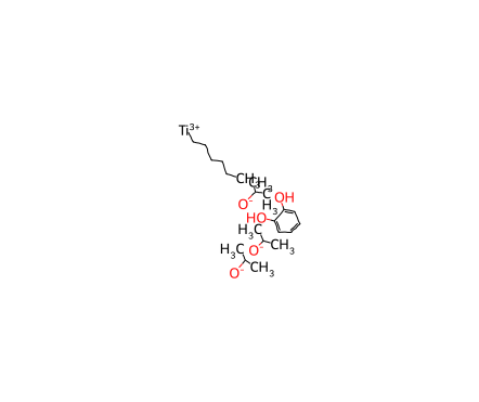 CC(C)[O-].CC(C)[O-].CC(C)[O-].CCCCC[CH2][Ti+3].Oc1ccccc1O